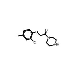 O=C(COc1ccc(Cl)cc1Cl)N1CCNCC1